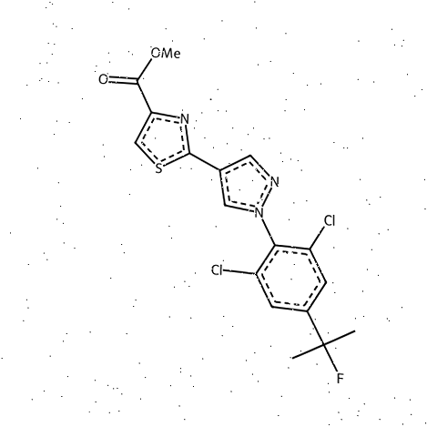 COC(=O)c1csc(-c2cnn(-c3c(Cl)cc(C(C)(C)F)cc3Cl)c2)n1